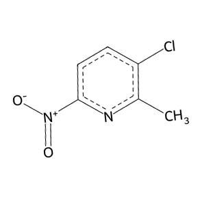 Cc1nc([N+](=O)[O-])ccc1Cl